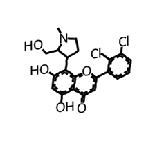 CN1CCC(c2c(O)cc(O)c3c(=O)cc(-c4cccc(Cl)c4Cl)oc23)C1CO